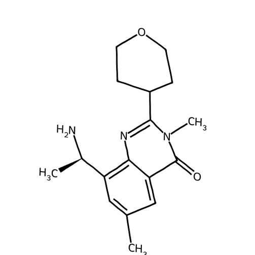 Cc1cc([C@@H](C)N)c2nc(C3CCOCC3)n(C)c(=O)c2c1